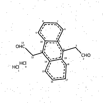 Cl.Cl.O=CCc1c2ccccc2c(CC=O)c2ccccc12